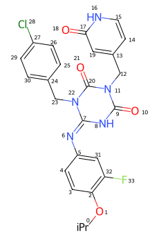 CC(C)Oc1ccc(/N=c2\[nH]c(=O)n(Cc3cc[nH]c(=O)c3)c(=O)n2Cc2ccc(Cl)cc2)cc1F